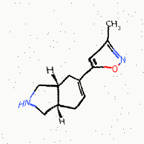 Cc1cc(C2=CC[C@@H]3CNC[C@@H]3C2)on1